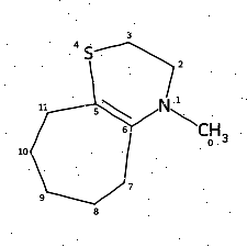 CN1CCSC2=C1CCCCC2